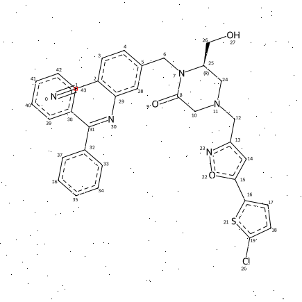 N#Cc1ccc(CN2C(=O)CN(Cc3cc(-c4ccc(Cl)s4)on3)C[C@@H]2CO)cc1N=C(c1ccccc1)c1ccccc1